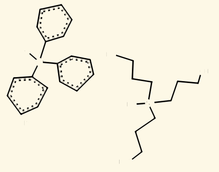 CCCC[N+](C)(CCCC)CCCC.C[P+](c1ccccc1)(c1ccccc1)c1ccccc1.[Br-].[I-]